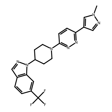 Cn1cc(-c2ccc(N3CCC(n4ncc5ccc(C(F)(F)F)cc54)CC3)nn2)cn1